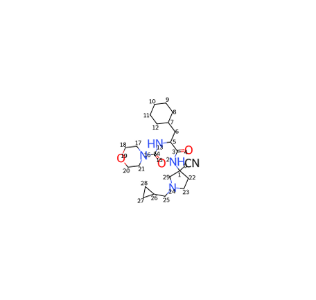 N#CC1(NC(=O)C(CC2CCCCC2)NC(=O)N2CCOCC2)CCN(CC2CC2)C1